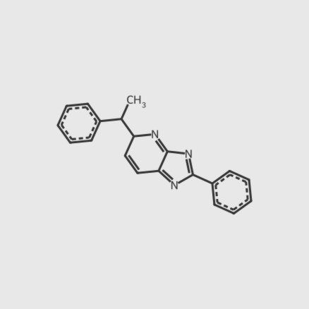 CC(c1ccccc1)C1C=CC2=NC(c3ccccc3)=NC2=N1